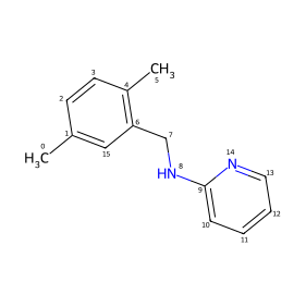 Cc1ccc(C)c(CNc2ccccn2)c1